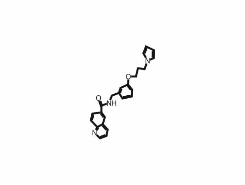 O=C(NCc1cccc(OCCCn2cccc2)c1)c1ccc2ncccc2c1